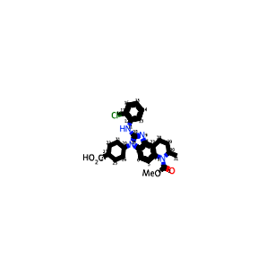 COC(=O)N1c2ccc3c(nc(Nc4ccccc4Cl)n3C3CCC(C(=O)O)CC3)c2CCC1C